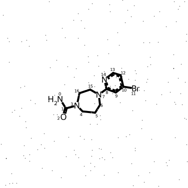 NC(=O)N1CCCN(c2cc(Br)ccn2)CC1